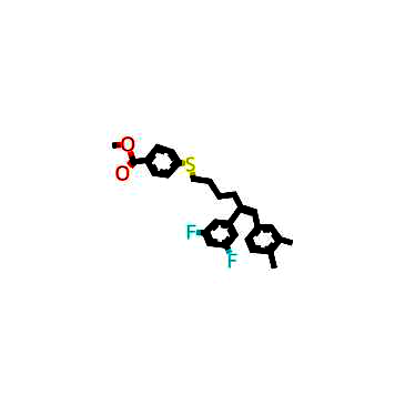 COC(=O)c1ccc(SCCCCC(=Cc2ccc(C)c(C)c2)c2cc(F)cc(F)c2)cc1